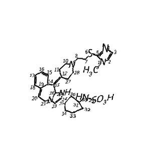 Cn1ccnc1SCCN1CCC(=C2C3C=CC=CC3=CCN3C=CNC23)CC1.O=S(=O)(O)NC1CCCCC1